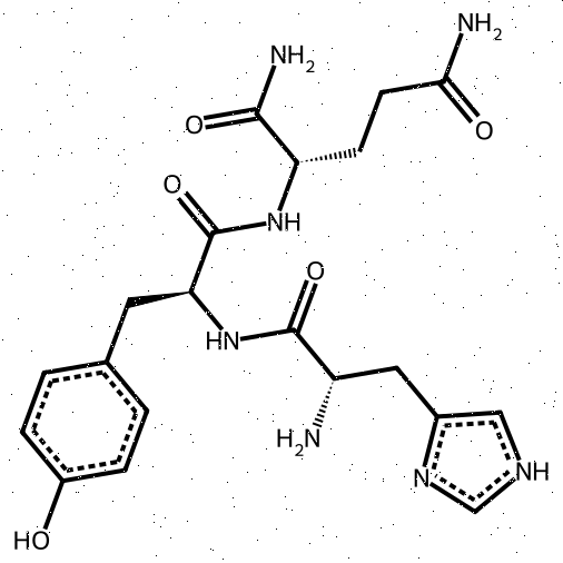 NC(=O)CC[C@H](NC(=O)[C@H](Cc1ccc(O)cc1)NC(=O)[C@@H](N)Cc1c[nH]cn1)C(N)=O